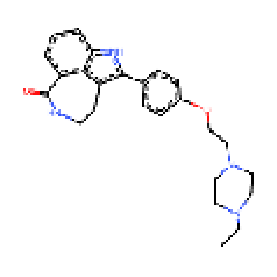 CCN1CCN(CCOc2ccc(-c3[nH]c4cccc5c4c3CCNC5=O)cc2)CC1